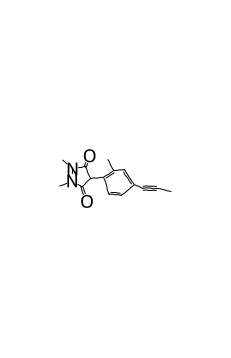 CC#Cc1ccc(C2C(=O)N(C)N(C)C2=O)c(C)c1